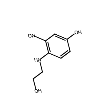 O=Nc1cc(O)ccc1NCCO